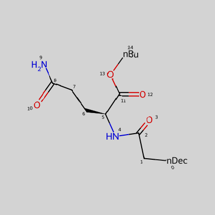 CCCCCCCCCCCC(=O)N[C@@H](CCC(N)=O)C(=O)OCCCC